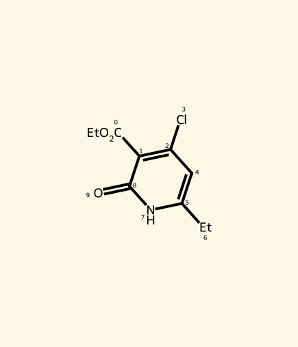 CCOC(=O)c1c(Cl)cc(CC)[nH]c1=O